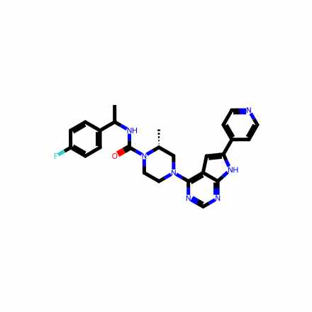 CC(NC(=O)N1CCN(c2ncnc3[nH]c(-c4ccncc4)cc23)C[C@H]1C)c1ccc(F)cc1